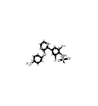 CS(=O)(=O)Nc1c(F)cc(-c2nccnc2Oc2ccc(C(F)(F)F)cc2)cc1F